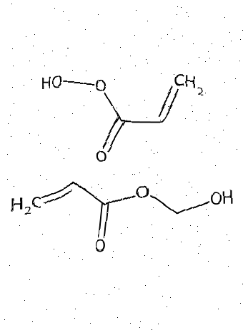 C=CC(=O)OCO.C=CC(=O)OO